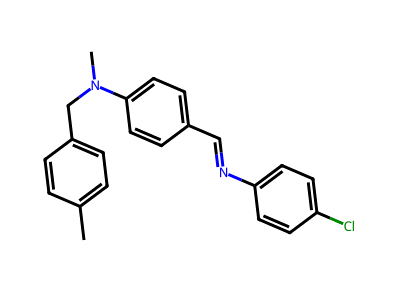 Cc1ccc(CN(C)c2ccc(C=Nc3ccc(Cl)cc3)cc2)cc1